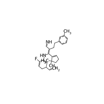 C=CC1C=C(N/C(C2=CCCC2(C)C)=C(\C=N)CCc2cccc(C)c2)C(F)=CC1